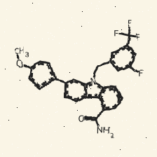 COc1ccc(-c2c[c]c3c4c(C(N)=O)cccc4n(Cc4cc(F)cc(C(F)(F)F)c4)c3c2)cc1